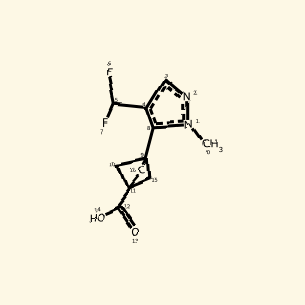 Cn1ncc(C(F)F)c1C12CC(C(=O)O)(C1)C2